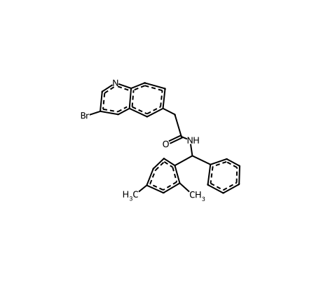 Cc1ccc(C(NC(=O)Cc2ccc3ncc(Br)cc3c2)c2ccccc2)c(C)c1